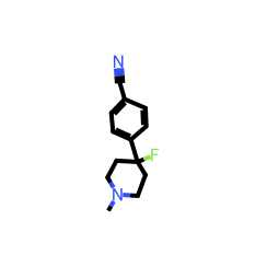 CN1CCC(F)(c2ccc(C#N)cc2)CC1